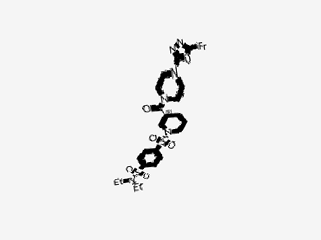 CCN(CC)S(=O)(=O)c1ccc(S(=O)(=O)N2CCC[C@@H](C(=O)N3CCN(c4nnc(C(C)C)o4)CC3)C2)cc1